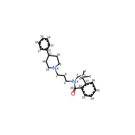 C[Si]1(C)CN(CCCN2CCC(c3ccccc3)CC2)C(=O)c2ccccc21